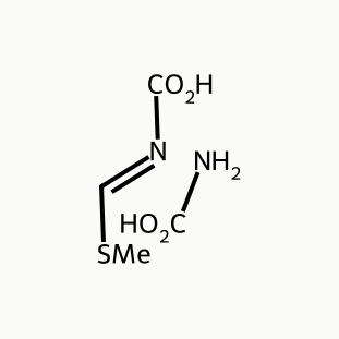 CSC=NC(=O)O.NC(=O)O